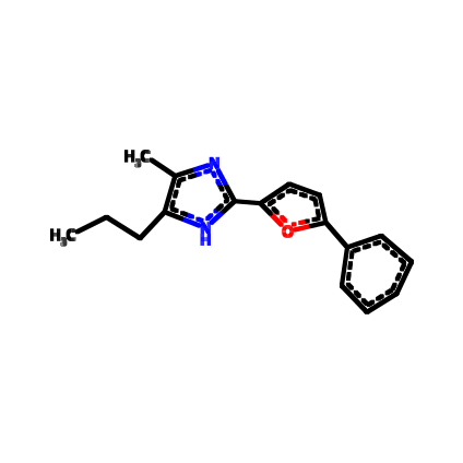 CCCc1[nH]c(-c2ccc(-c3ccccc3)o2)nc1C